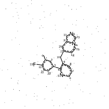 Cc1cc(-c2ncccc2Cc2ccn3cncc3c2)ccc1F